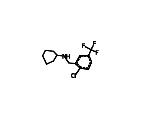 FC(F)(F)c1ccc(Cl)c(CNC2CCCCC2)c1